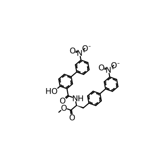 COC(=O)[C@H](Cc1ccc(-c2cccc([N+](=O)[O-])c2)cc1)NC(=O)c1cc(-c2cccc([N+](=O)[O-])c2)ccc1O